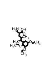 CCOc1cc(OCC)c(OCC)c(C(C)C(C)CC(CN)C(=O)O)c1